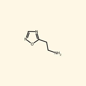 NCCc1n[c]no1